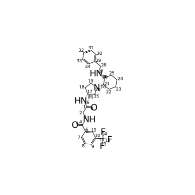 O=C(CNC(=O)c1cccc(C(F)(F)F)c1)N[C@@H]1CCN([C@H]2CCCC[C@H]2NCc2ccccc2)C1